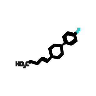 O=C(O)CCC=C[C@H]1CC[C@H](c2ccc(F)cc2)CC1